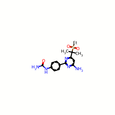 CCS(=O)(=O)C(C)(C)c1cc(N)nc(-c2ccc(NC(N)=O)cc2)n1